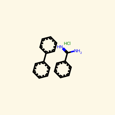 Cl.N=C(N)c1ccccc1.c1ccc(-c2ccccc2)cc1